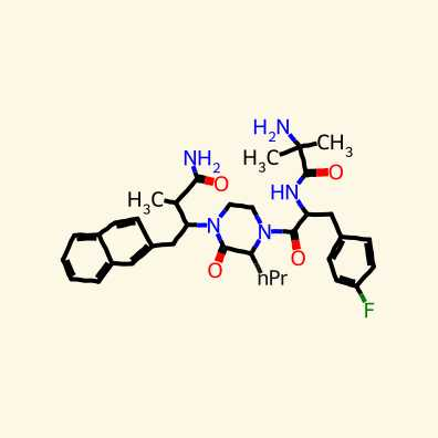 CCCC1C(=O)N(C(Cc2ccc3ccccc3c2)C(C)C(N)=O)CCN1C(=O)C(Cc1ccc(F)cc1)NC(=O)C(C)(C)N